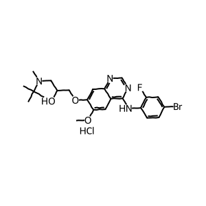 COc1cc2c(Nc3ccc(Br)cc3F)ncnc2cc1OCC(O)CN(C)C(C)(C)C.Cl